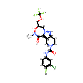 CN1OC(COC(F)(F)F)Cn2nc3c(c2C1=O)CN(C(=O)Nc1ccc(F)c(Cl)c1)CC3